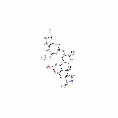 CCC1CN(Cc2cc(C(CC(=O)O)c3ccc4c(nnn4C)c3C)ccc2C)Cc2cc(F)ccc2O1